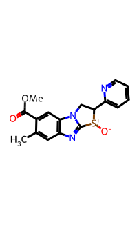 COC(=O)c1cc2c(cc1C)nc1n2CC(c2ccccn2)[S+]1[O-]